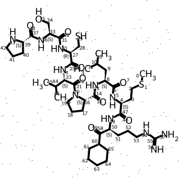 CSCC[C@H](NC(=O)[C@H](CC(C)C)NC(=O)[C@@H]1CCCN1C(=O)[C@@H](NC(=O)[C@H](CS)NC(=O)[C@H](CO)NC(=O)[C@@H]1CCCN1)C(C)C)C(=O)N[C@@H](CCCNC(=N)N)C(=O)C1CCCCC1